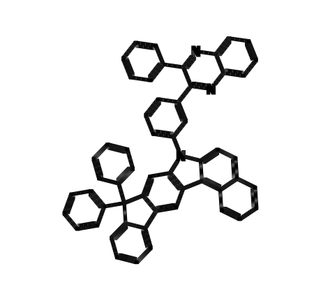 c1ccc(-c2nc3ccccc3nc2-c2cccc(-n3c4cc5c(cc4c4c6ccccc6ccc43)-c3ccccc3C5(c3ccccc3)c3ccccc3)c2)cc1